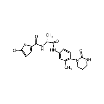 Cc1cc(NC(=O)C(C)NC(=O)c2ccc(Cl)s2)ccc1N1CCCNC1=O